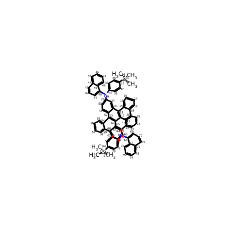 C[Si](C)(C)c1ccc(N(c2ccc3c(-c4ccccc4-c4ccccc4)c4cc(N(c5ccc([Si](C)(C)C)cc5)c5cccc6ccccc56)ccc4c(-c4ccccc4-c4ccccc4)c3c2)c2cccc3ccccc23)cc1